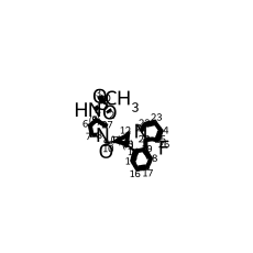 CS(=O)(=O)N[C@H]1CCN(C(=O)[C@@H]2C[C@H]2c2ccccc2-c2ncccc2F)C1